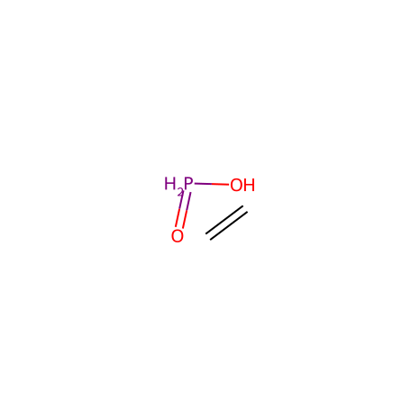 C=C.O=[PH2]O